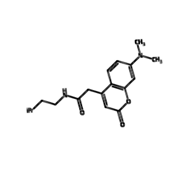 CC(C)CCNC(=O)Cc1cc(=O)oc2cc(N(C)C)ccc12